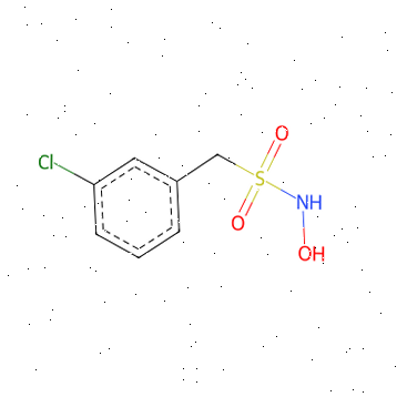 O=S(=O)(Cc1cccc(Cl)c1)NO